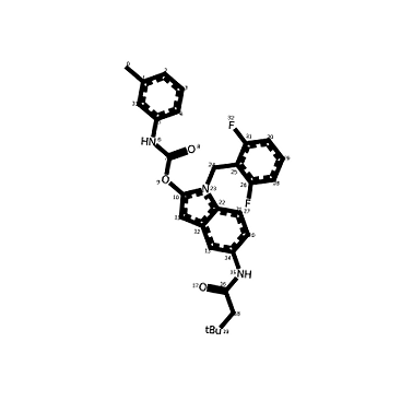 Cc1cccc(NC(=O)Oc2cc3cc(NC(=O)CC(C)(C)C)ccc3n2Cc2c(F)cccc2F)c1